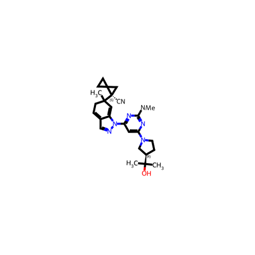 CNc1nc(N2CC[C@@H](C(C)(C)O)C2)cc(-n2ncc3c2=CC(C)([C@]2(C#N)CC24CC4)CC=3)n1